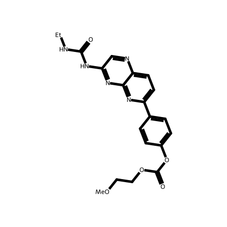 CCNC(=O)Nc1cnc2ccc(-c3ccc(OC(=O)OCCOC)cc3)nc2n1